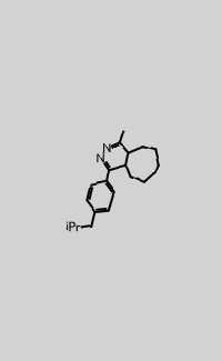 CC1=NN=C(c2ccc(CC(C)C)cc2)C2CCCCCCC12